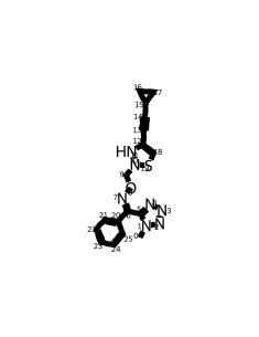 Cn1nnnc1C(=NOCN1NC(C#CC2CC2)=CS1)c1ccccc1